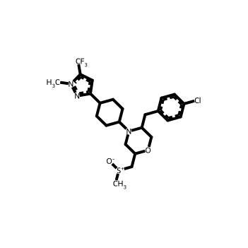 Cn1nc(C2CCC(N3CC(C[S+](C)[O-])OCC3Cc3ccc(Cl)cc3)CC2)cc1C(F)(F)F